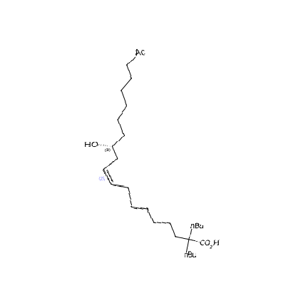 CCCCC(CCCC)(CCCCCC/C=C\C[C@H](O)CCCCCCC(C)=O)C(=O)O